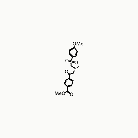 COC(=O)c1ccc(C(=O)C[S+](C)CS(=O)(=O)c2ccc(OC)cc2)cc1